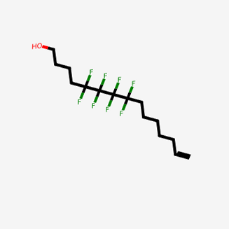 C=CCCCCCC(F)(F)C(F)(F)C(F)(F)C(F)(F)CCCCO